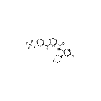 O=C(Nc1cnc(F)cc1N1CCOCC1)c1ccnc(Nc2cccc(OC(F)(F)F)c2)n1